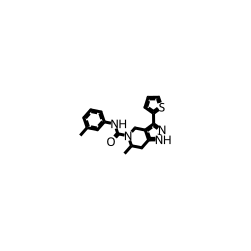 Cc1cccc(NC(=O)N2Cc3c(-c4cccs4)n[nH]c3CC2C)c1